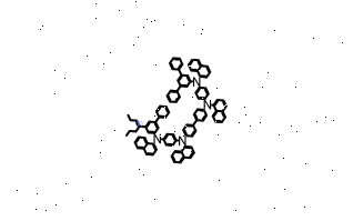 CC/C=C(\CCC)c1cc(-c2ccccc2)cc(N(c2ccc(N(c3ccc(-c4ccc(N(c5ccc(N(c6cc(-c7ccccc7)cc(-c7ccccc7)c6)c6cccc7ccccc67)cc5)c5cccc6ccccc56)cc4)cc3)c3cccc4ccccc34)cc2)c2cccc3ccccc23)c1